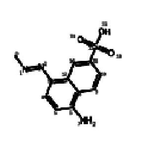 C/N=N/c1ccc(N)c2ccc(S(=O)(=O)O)cc12